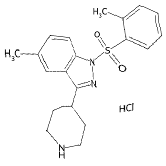 Cc1ccc2c(c1)c(C1CCNCC1)nn2S(=O)(=O)c1ccccc1C.Cl